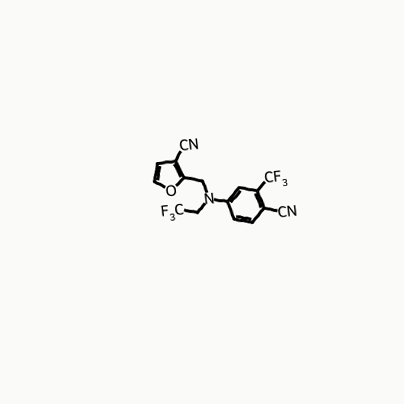 N#Cc1ccc(N(Cc2occc2C#N)CC(F)(F)F)cc1C(F)(F)F